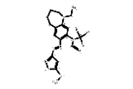 CCN1CCCCc2cc(N=Nc3cc(SC)on3)c(N(C=O)C(F)(F)F)cc21